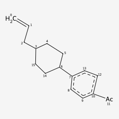 C=CCC1CCC(c2ccc(C(C)=O)cc2)CC1